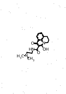 CN(C)CCNC(=O)c1c(O)n2c3c(cccc3c1=O)CCC2